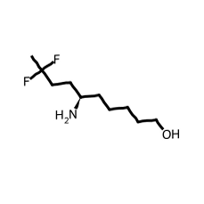 CC(F)(F)CC[C@H](N)CCCCCO